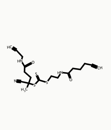 C#CCCCC(=O)NCCSC(=S)SC(C)(C#N)CCC(=O)NCC#C